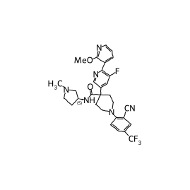 COc1ncccc1-c1ncc(C2(C(=O)N[C@H]3CCN(C)C3)CCN(c3ccc(C(F)(F)F)cc3C#N)CC2)cc1F